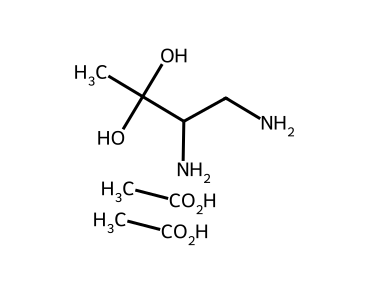 CC(=O)O.CC(=O)O.CC(O)(O)C(N)CN